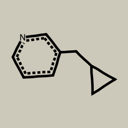 c1cncc(CC2CC2)c1